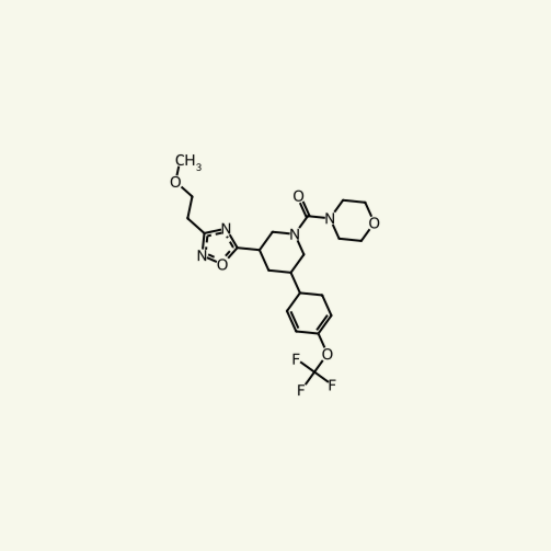 COCCc1noc(C2CC(C3C=CC(OC(F)(F)F)=CC3)CN(C(=O)N3CCOCC3)C2)n1